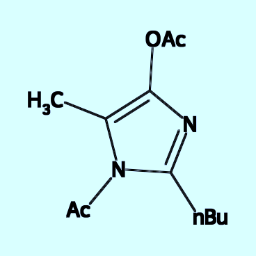 CCCCc1nc(OC(C)=O)c(C)n1C(C)=O